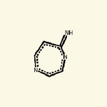 N=c1ccnccn1